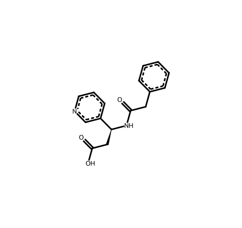 O=C(O)C[C@H](NC(=O)Cc1ccccc1)c1cccnc1